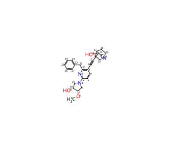 CO[C@@H]1CN(c2ccc(C#C[C@@]3(O)CN4CCC3CC4)c(Cc3ccccc3)n2)C[C@H]1O